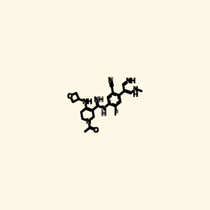 CN/C=C(\C=N)c1cc(F)c(NC(=N)C2=C(NC3COC3)CCN(C(C)=O)C2)cc1C#N